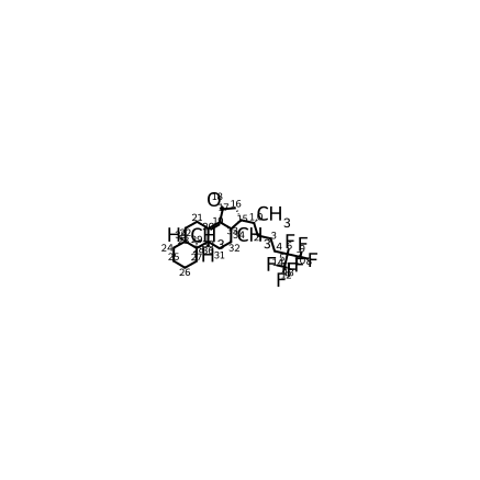 C[C@H](CCCC(F)(C(F)(F)F)C(F)(F)F)[C@H]1CC(=O)C2=C3CC[C@H]4CCCC[C@]4(C)[C@H]3CC[C@@]21C